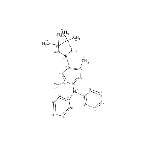 Cc1cc(N(c2ccccc2)c2ccccc2)c(C)cc1B1OC(C)(C)C(C)(C)O1